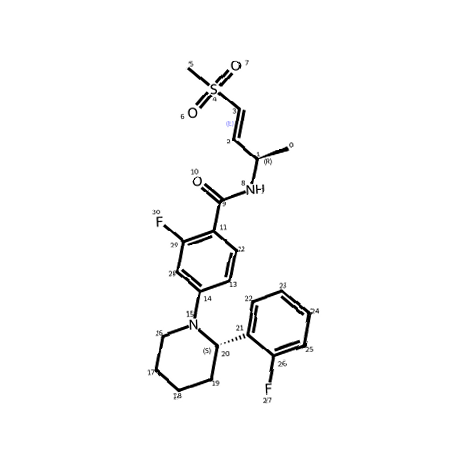 C[C@H](/C=C/S(C)(=O)=O)NC(=O)c1ccc(N2CCCC[C@H]2c2ccccc2F)cc1F